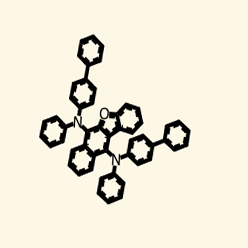 c1ccc(-c2ccc(N(c3ccccc3)c3c4ccccc4c(N(c4ccccc4)c4ccc(-c5ccccc5)cc4)c4c3oc3ccccc34)cc2)cc1